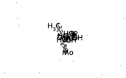 CCCCCCCCCCC[CH2][Mo].OP(O)(O)=S.OP(O)(O)=S